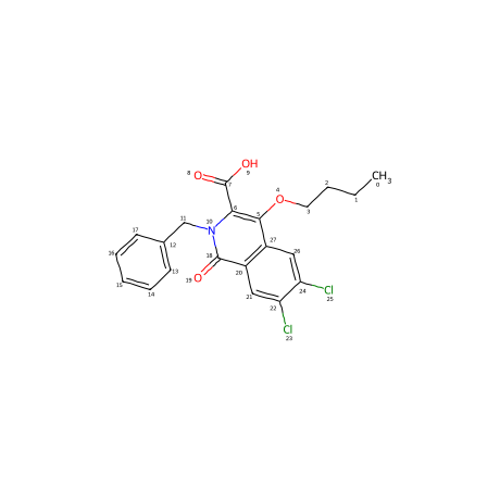 CCCCOc1c(C(=O)O)n(Cc2ccccc2)c(=O)c2cc(Cl)c(Cl)cc12